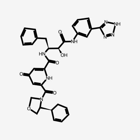 O=C(N[C@@H](Cc1ccccc1)[C@H](O)C(=O)Nc1cccc(-c2nn[nH]n2)c1)c1cc(=O)cc(C(=O)N2COCC2[C@@H]2C=CC=CC2)[nH]1